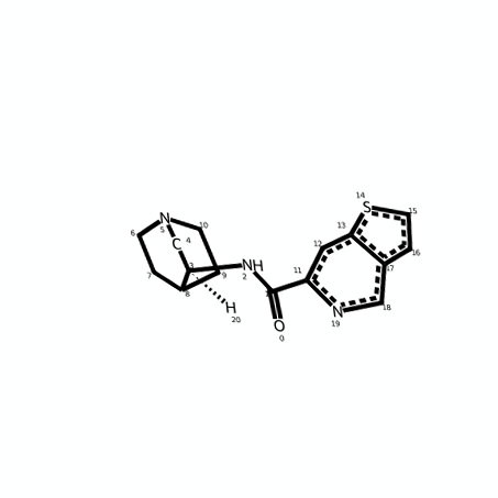 O=C(N[C@@H]1CN2CCC1CC2)c1cc2sccc2cn1